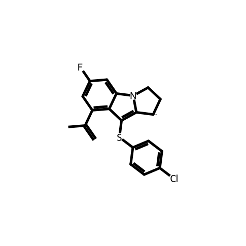 C=C(C)c1cc(F)cc2c1c(Sc1ccc(Cl)cc1)c1n2CC[CH]1